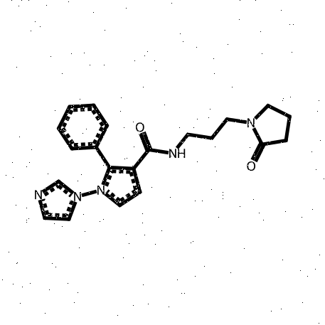 O=C(NCCCN1CCCC1=O)c1ccn(-n2ccnc2)c1-c1ccccc1